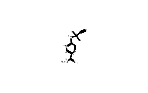 C#CC(C)(C)Oc1cnc(C(=O)OC)cn1